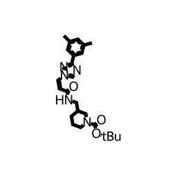 Cc1cc(C)cc(-c2ncn(/C=C\C(=O)NCC3CCCN(C(=O)OC(C)(C)C)C3)n2)c1